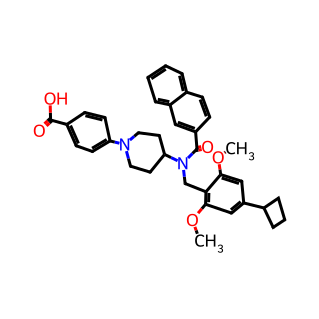 COc1cc(C2CCC2)cc(OC)c1CN(C(=O)c1ccc2ccccc2c1)C1CCN(c2ccc(C(=O)O)cc2)CC1